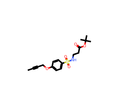 CC#CCOc1ccc(S(=O)(=O)NCCC(=O)OC(C)(C)C)cc1